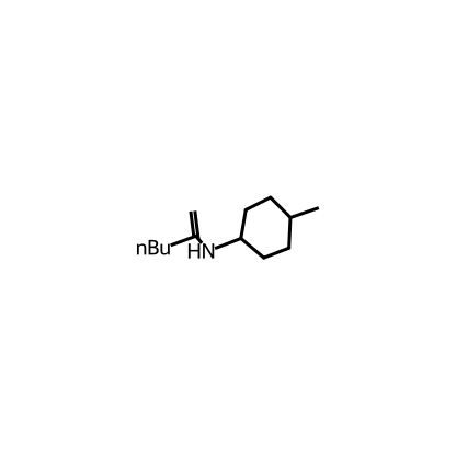 C=C(CCCC)NC1CCC(C)CC1